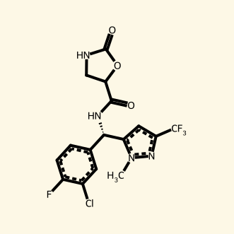 Cn1nc(C(F)(F)F)cc1[C@@H](NC(=O)C1CNC(=O)O1)c1ccc(F)c(Cl)c1